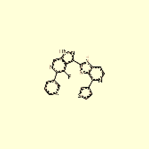 Fc1c(-c2cccnc2)ncc2[nH]nc(-c3nc4c(-c5ccsc5)nccc4[nH]3)c12